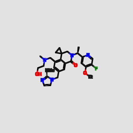 CCOc1cc([C@H](C)N2CC3(CC3)c3c(CN(C)CCO)cc(Cn4ccnc4NC)cc3C2=O)ncc1F